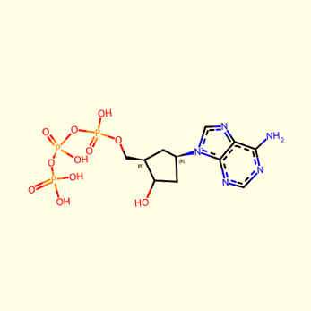 Nc1ncnc2c1ncn2[C@H]1CC(O)[C@@H](COP(=O)(O)OP(=O)(O)OP(=O)(O)O)C1